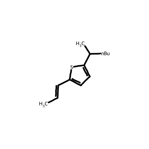 C/C=C/c1ccc(C(C)CCCC)s1